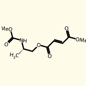 COC(=O)/C=C/C(=O)OC[C@H](C)NC(=O)OC